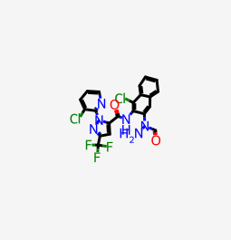 NN(C=O)c1cc2ccccc2c(Cl)c1NC(=O)c1cc(C(F)(F)F)nn1-c1ncccc1Cl